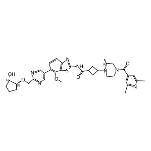 COc1c(-c2cnc(CO[C@H]3CCC[C@@H]3O)nc2)ccc2nc(NC(=O)C3CC(N4CCN(C(=O)c5cc(C)nc(C)c5)C[C@@H]4C)C3)sc12